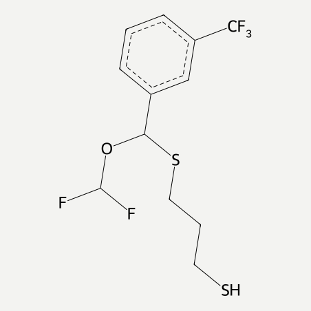 FC(F)OC(SCCCS)c1cccc(C(F)(F)F)c1